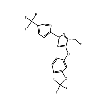 FCc1nn(-c2ccc(C(F)(F)F)cc2)nc1Oc1cccc(OC(F)(F)F)c1